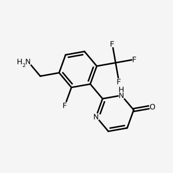 NCc1ccc(C(F)(F)F)c(-c2nccc(=O)[nH]2)c1F